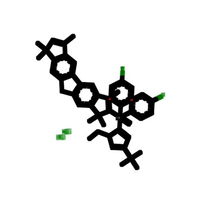 Cl.Cl.[CH2]=[Zr]([C]1=CC(C(C)(C)C)=CC1CC)([C]1=C(C)c2cc3c(cc2C1(C)C)Cc1cc2c(cc1-3)C(C)=CC2(C)C)([c]1ccc(F)cc1)[c]1ccc(F)cc1